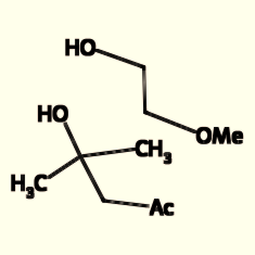 CC(=O)CC(C)(C)O.[CH2]OCCO